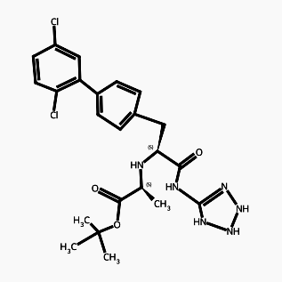 C[C@H](N[C@@H](Cc1ccc(-c2cc(Cl)ccc2Cl)cc1)C(=O)NC1=NNNN1)C(=O)OC(C)(C)C